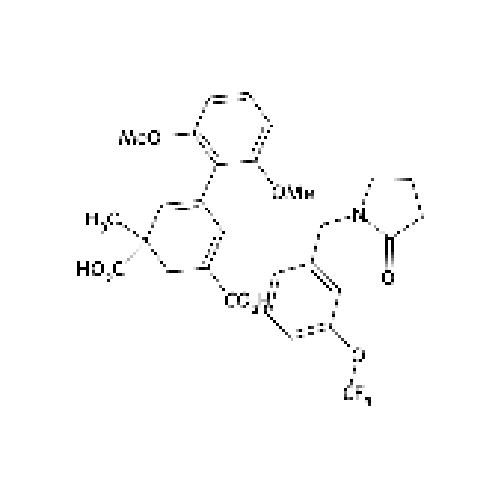 COc1cccc(OC)c1C1=CC(C)(C(=O)O)CC(C(=O)O)=C1.O=C1CCCN1Cc1cccc(OC(F)(F)F)c1